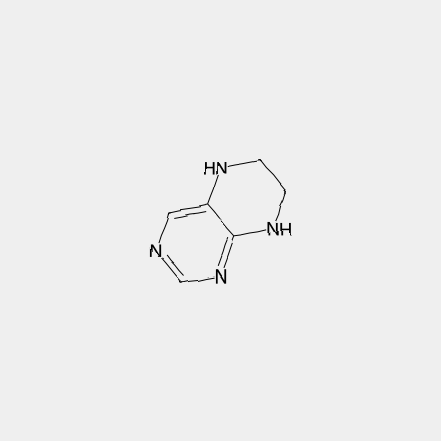 c1ncc2c(n1)NCCN2